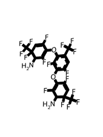 NC1C(F)=C(Oc2c(F)cc(C(F)(F)F)c(OC3=C(F)C(N)C(F)(C(F)(F)F)C=C3F)c2F)C(F)=CC1(F)C(F)(F)F